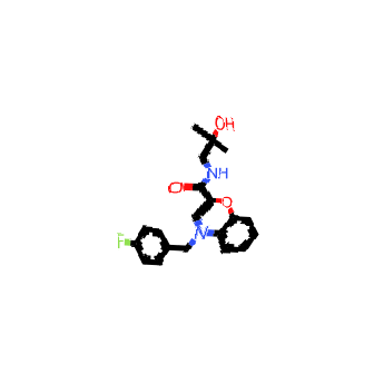 CC(C)(O)CNC(=O)C1=CN(Cc2ccc(F)cc2)c2ccccc2O1